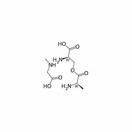 CNCC(=O)O.C[C@@H](N)C(=O)OC[C@@H](N)C(=O)O